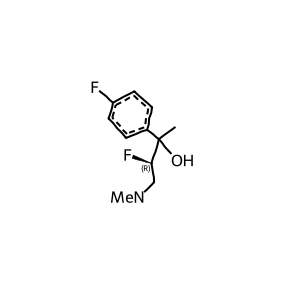 CNC[C@@H](F)C(C)(O)c1ccc(F)cc1